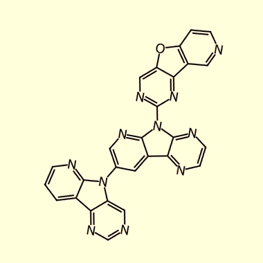 c1cnc2c(c1)c1ncncc1n2-c1cnc2c(c1)c1nccnc1n2-c1ncc2oc3ccncc3c2n1